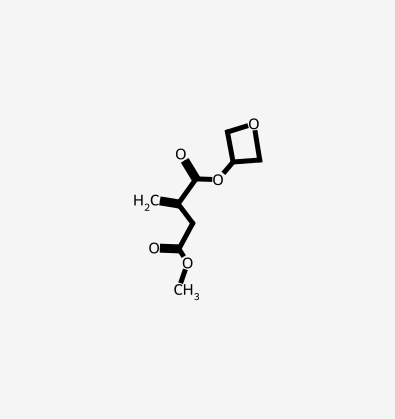 C=C(CC(=O)OC)C(=O)OC1COC1